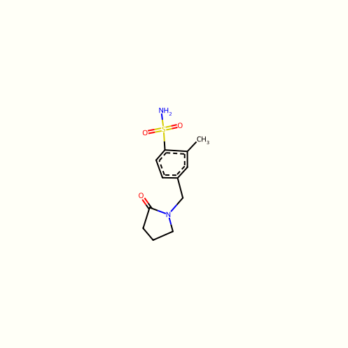 Cc1cc(CN2CCCC2=O)ccc1S(N)(=O)=O